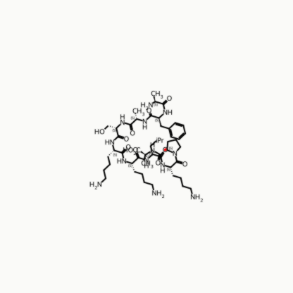 CC(C)C[C@H](NC(=O)[C@H](CCCCN)NC(=O)[C@H](CCCCN)NC(=O)[C@H](CO)NC(=O)[C@H](C)NC(=O)[C@H](Cc1ccccc1)NC(=O)[C@H](C)N)C(=O)N[C@@H](CCCCN)C(=O)N1CCC[C@H]1C(=O)N[C@@H](C)C(=O)O